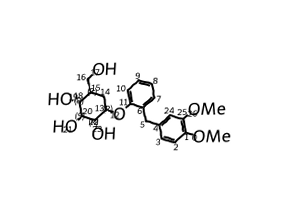 COc1ccc(Cc2ccccc2O[C@@H]2C[C@H](CO)[C@@H](O)[C@H](O)[C@H]2O)cc1OC